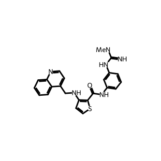 CNC(=N)Nc1cccc(NC(=O)c2sccc2NCc2ccnc3ccccc23)c1